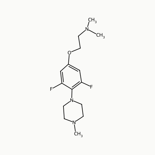 CN(C)CCOc1cc(F)c(N2CCN(C)CC2)c(F)c1